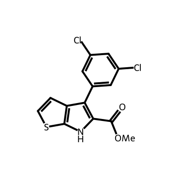 COC(=O)c1[nH]c2sccc2c1-c1cc(Cl)cc(Cl)c1